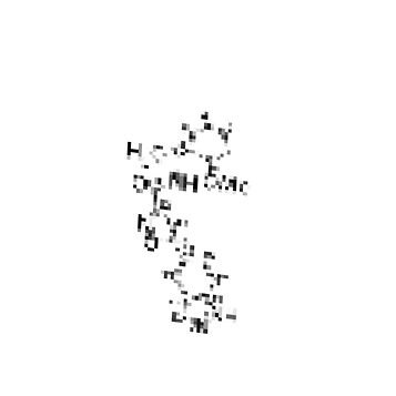 COc1ccccc1[C@@H](C)NC(=O)c1cc(-c2ccc3[nH]ncc3c2)on1